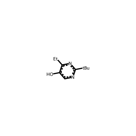 CCc1nc(C(C)(C)C)ncc1O